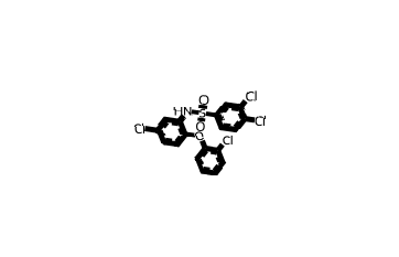 O=S(=O)(Nc1cc(Cl)ccc1Oc1ccccc1Cl)c1ccc(Cl)c(Cl)c1